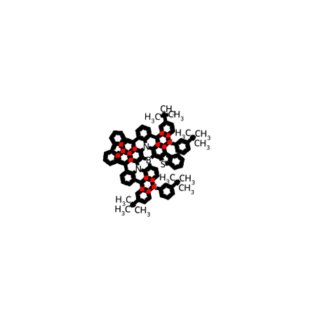 CC(C)(C)c1ccc(N(c2cccc(C(C)(C)C)c2)c2ccc3c(c2)N(c2c(-c4ccccc4)cccc2-c2ccccc2)c2cc(-n4c5ccccc5c5ccccc54)cc4c2B3c2c(cc(N(c3ccc(C(C)(C)C)cc3)c3cccc(C(C)(C)C)c3)c3c2sc2ccccc23)N4c2c(-c3ccccc3)cccc2-c2ccccc2)cc1